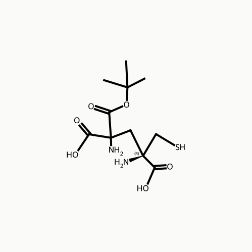 CC(C)(C)OC(=O)C(N)(C[C@](N)(CS)C(=O)O)C(=O)O